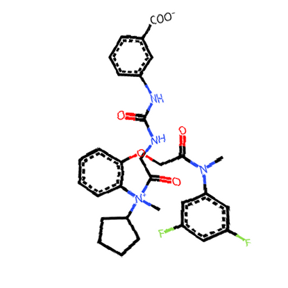 CN(C(=O)COc1ccccc1[N+](C)(C(=O)CNC(=O)Nc1cccc(C(=O)[O-])c1)C1CCCC1)c1cc(F)cc(F)c1